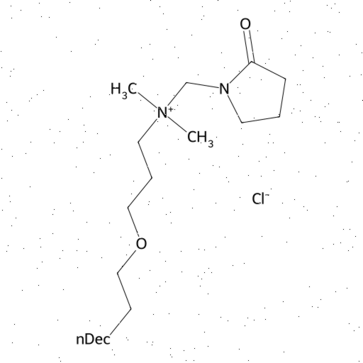 CCCCCCCCCCCCOCCC[N+](C)(C)CN1CCCC1=O.[Cl-]